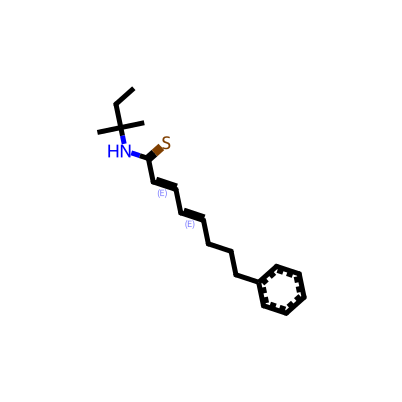 CCC(C)(C)NC(=S)/C=C/C=C/CCCc1ccccc1